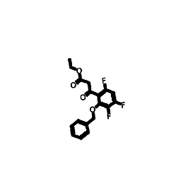 CCOC(=O)CC(=O)c1c(F)cc(F)c(F)c1OCc1ccccc1